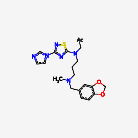 CC(=O)CN(CCCN(C)Cc1ccc2c(c1)OCO2)c1nc(-n2ccnc2)ns1